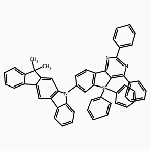 CC1(C)c2ccccc2-c2cc3c4ccccc4n(-c4ccc5c(c4)[Si](c4ccccc4)(c4ccccc4)c4c(-c6ccccc6)nc(-c6ccccc6)nc4-5)c3cc21